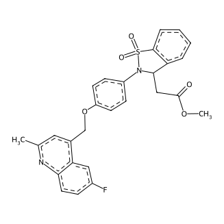 COC(=O)CC1c2ccccc2S(=O)(=O)N1c1ccc(OCc2cc(C)nc3ccc(F)cc23)cc1